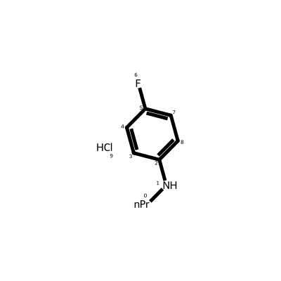 CCCNc1ccc(F)cc1.Cl